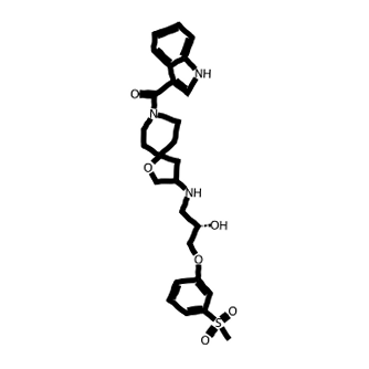 CS(=O)(=O)c1cccc(OC[C@@H](O)CNC2COC3(CCN(C(=O)c4c[nH]c5ccccc45)CC3)C2)c1